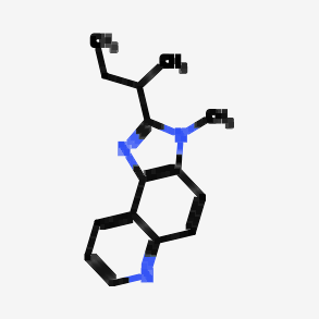 CCC(C)c1nc2c3cccnc3ccc2n1C